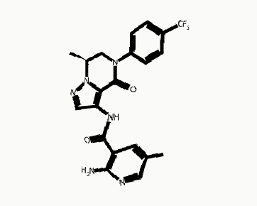 Cc1cnc(N)c(C(=O)Nc2cnn3c2C(=O)N(c2ccc(C(F)(F)F)cc2)C[C@@H]3C)c1